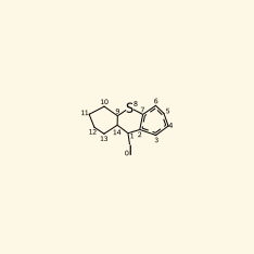 IC1c2ccccc2SC2CCCCC21